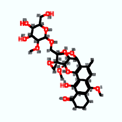 COc1c2c(c(O)c3c4c(c(C)cc13)C1OC3(COC5OC(CO)C(O)C(O)C5OC)OC1[C@@](OC)(O4)[C@@]31CO1)C(=O)CCC2